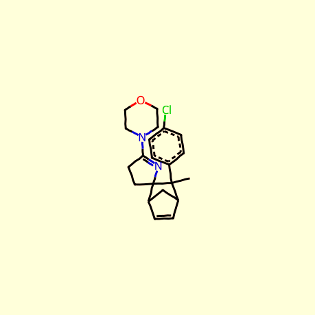 CC1(c2ccc(Cl)cc2)C2C=CC(C2)C12CCC(N1CCOCC1)=N2